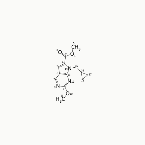 COC(=O)c1cc2cnc(OC)nc2n1CC1CC1